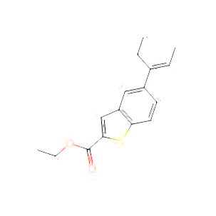 C/C=C(\CC)c1ccc2sc(C(=O)OCC)cc2c1